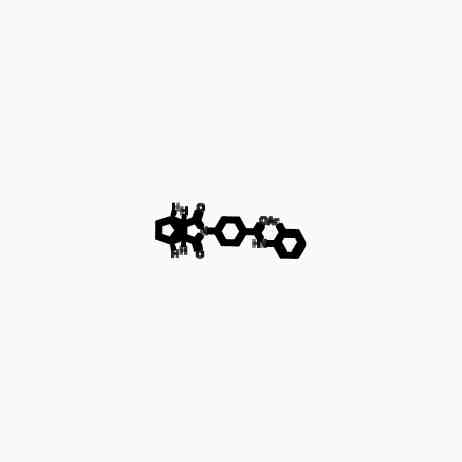 CC(=O)c1ccccc1NC(=O)C1CCC(N2C(=O)[C@@H]3[C@@H]4CC[C@@H](C4)[C@@H]3C2=O)CC1